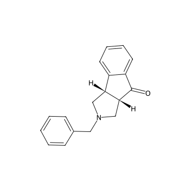 O=C1c2ccccc2[C@H]2CN(Cc3ccccc3)C[C@@H]12